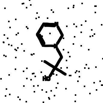 CC(C)(O)CN1C=CC=NC1